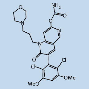 COc1cc(OC)c(Cl)c(-c2cc3cnc(OC(N)=O)cc3n(CCCN3CCOCC3)c2=O)c1Cl